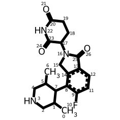 CC1CNCC(C)C1c1c(F)ccc2c1CN(C1CCC(=O)NC1=O)C2=O